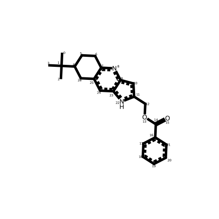 CC(C)(C)C1CCc2nc3cc(COC(=O)c4ccccc4)[nH]c3cc2C1